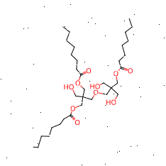 CCCCCCCC(=O)OCC(CO)(CO)COCC(CO)(COC(=O)CCCCCCC)COC(=O)CCCCCCC